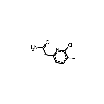 Cc1ccc([CH]C(N)=O)nc1Cl